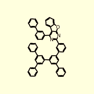 c1ccc(-c2cc(-c3ccccc3)cc(-c3cc(-c4ccccc4)cc(-c4cccc(-c5nc(-c6cccc(-c7ccccc7)c6)c6c(n5)oc5ccccc56)c4)c3)c2)cc1